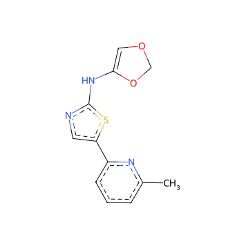 Cc1cccc(-c2cnc(NC3=COCO3)s2)n1